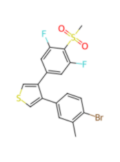 Cc1cc(-c2cscc2-c2cc(F)c(S(C)(=O)=O)c(F)c2)ccc1Br